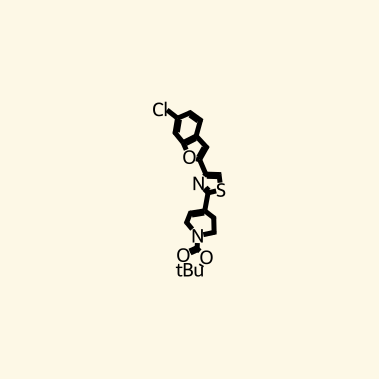 CC(C)(C)OC(=O)N1CC=C(c2nc(-c3cc4ccc(Cl)cc4o3)cs2)CC1